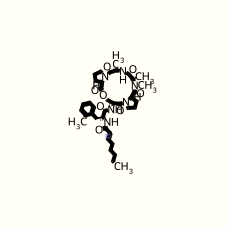 CCCCC/C=C/C(=O)N[C@@H](Cc1ccccc1C)C(=O)N[C@H]1COC(=O)[C@@H]2CCCN2C(=O)[C@H](C)NC(=O)[C@H](C)N(C)C(=O)[C@@H]2CCCN2C1=O